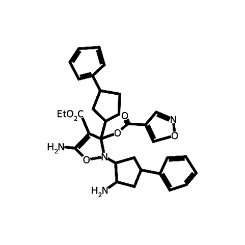 CCOC(=O)C1=C(N)ON(C2CC(c3ccccc3)CC2N)C1(OC(=O)c1cnoc1)C1CCC(c2ccccc2)C1